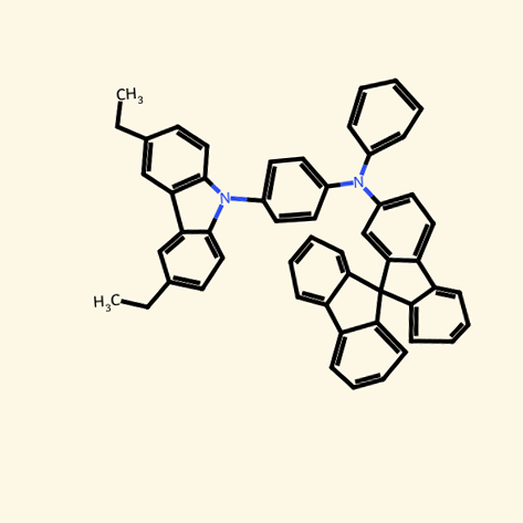 CCc1ccc2c(c1)c1cc(CC)ccc1n2-c1ccc(N(c2ccccc2)c2ccc3c(c2)C2(c4ccccc4-c4ccccc42)c2ccccc2-3)cc1